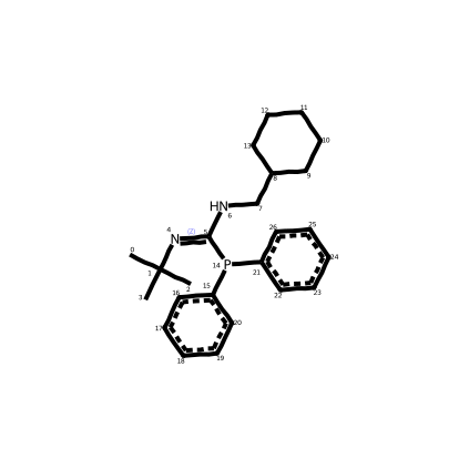 CC(C)(C)/N=C(/NCC1CCCCC1)P(c1ccccc1)c1ccccc1